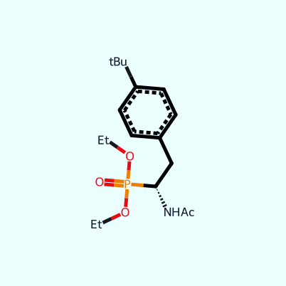 CCOP(=O)(OCC)[C@H](Cc1ccc(C(C)(C)C)cc1)NC(C)=O